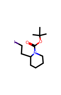 CC(C)(C)OC(=O)N1CCCCC1CCI